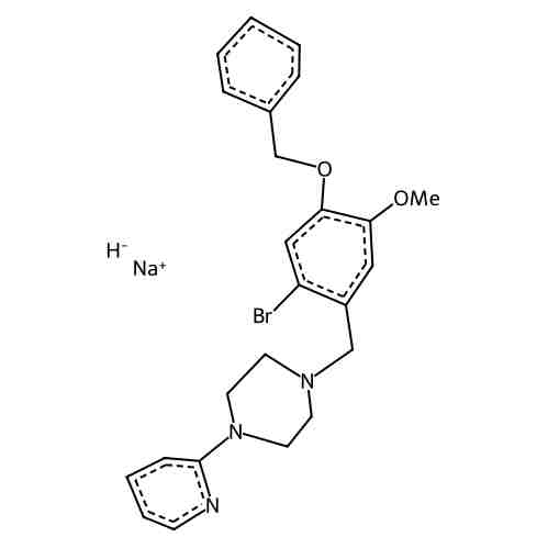 COc1cc(CN2CCN(c3ccccn3)CC2)c(Br)cc1OCc1ccccc1.[H-].[Na+]